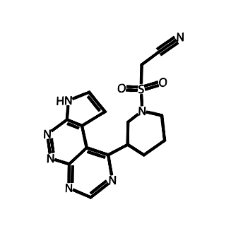 N#CCS(=O)(=O)N1CCCC(c2ncnc3nnc4[nH]ccc4c23)C1